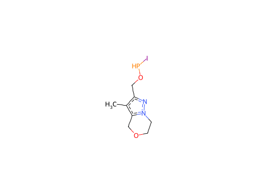 Cc1c(COPI)nn2c1COCC2